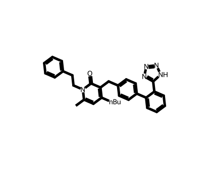 CCCCc1cc(C)n(CCc2ccccc2)c(=O)c1Cc1ccc(-c2ccccc2-c2nnn[nH]2)cc1